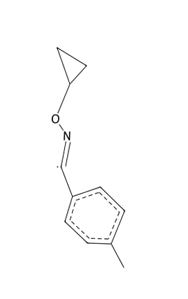 Cc1ccc(/[C]=N/OC2CC2)cc1